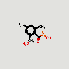 Cc1cc(C)c(C(=O)PO)c(C)c1.O